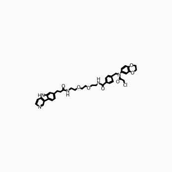 O=C(CCc1ccc2c(c1)[nH]c1ccncc12)NCCOCCOCCNC(=O)c1ccc(CN(C(=O)CCl)c2ccc3c(c2)OCCO3)cc1